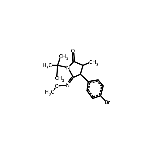 CON=C1C(c2ccc(Br)cc2)C(C)C(=O)N1C(C)(C)C